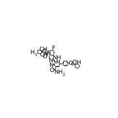 CC(C)(C)OC(=O)N1C[C@@H](F)C[C@H](Nc2ncnc3c(C(N)=O)cc(-c4ccc(OCC5(O)CCCC5)cc4)nc23)C1